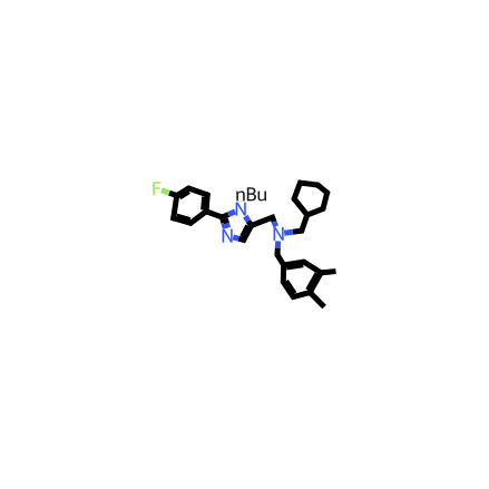 CCCCn1c(CN(Cc2ccc(C)c(C)c2)CC2CCCCC2)cnc1-c1ccc(F)cc1